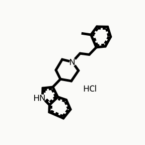 Cc1ccccc1CCN1CCC(c2c[nH]c3ccccc23)CC1.Cl